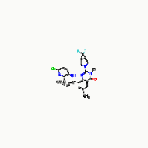 CCn1c(N2CC3C(C2)C3(F)F)nc2c([C@@H](C)Nc3ccc(Cl)nc3C(=O)O)cc(C)cc2c1=O